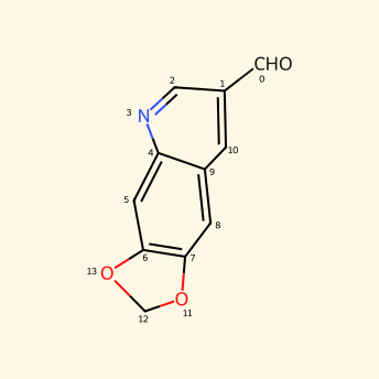 O=Cc1cnc2cc3c(cc2c1)OCO3